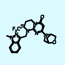 Cn1nc(CN2c3nc(N4CC5CC4CO5)cc(=O)n3CC[C@H]2C(F)(F)F)c2ccccc21